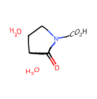 O.O.O=C(O)N1CCCC1=O